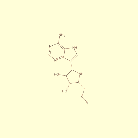 [3H]SC[C@H]1N[C@@H](c2c[nH]c3c(N)ncnc23)C(O)[C@H]1O